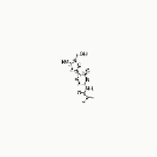 CC(C)C(=O)Nc1ccn([C@H]2CC(O)[C@@H](CO)O2)c(=O)n1